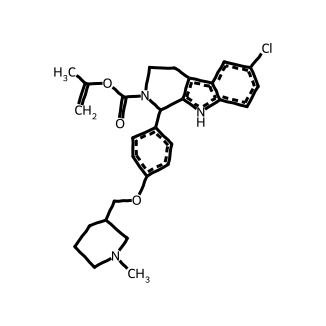 C=C(C)OC(=O)N1CCc2c([nH]c3ccc(Cl)cc23)C1c1ccc(OCC2CCCN(C)C2)cc1